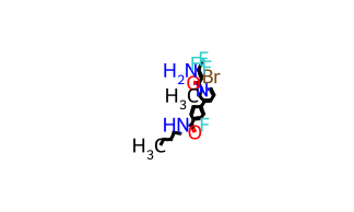 CCCCCNC(=O)c1ccc(C2=CC=CN(C(=O)/C(Br)=C(\N)C(F)(F)F)C2C)cc1F